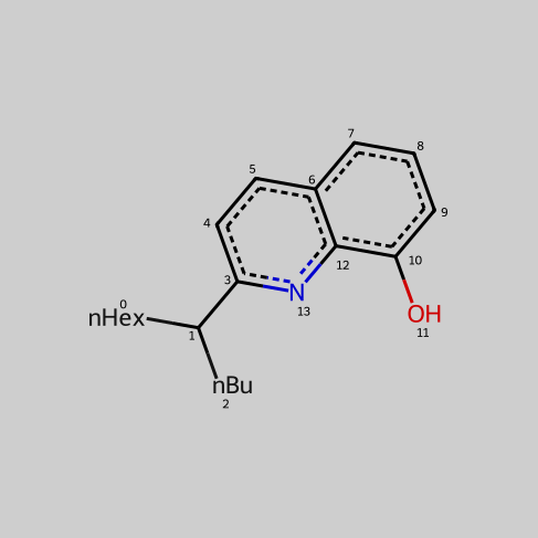 CCCCCCC(CCCC)c1ccc2cccc(O)c2n1